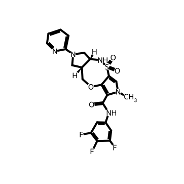 Cn1cc2c(c1C(=O)Nc1cc(F)c(F)c(F)c1)OC[C@@H]1CN(c3ccccn3)C[C@@H]1NS2(=O)=O